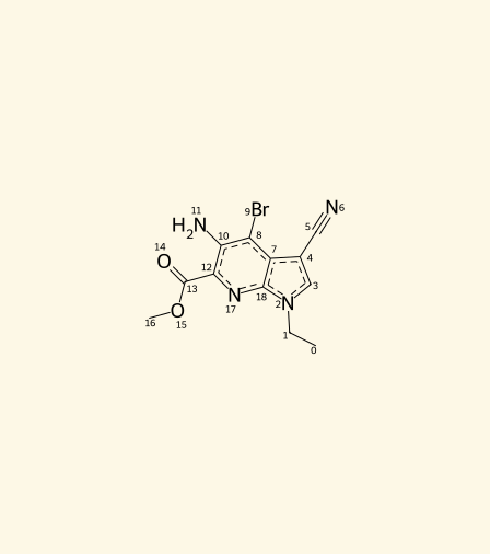 CCn1cc(C#N)c2c(Br)c(N)c(C(=O)OC)nc21